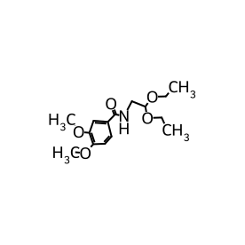 CCOC(CNC(=O)c1ccc(OC)c(OC)c1)OCC